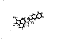 CCN1C(=O)c2cccc3c(NS(=O)(=O)c4ccc5ccccc5c4)ccc1c23